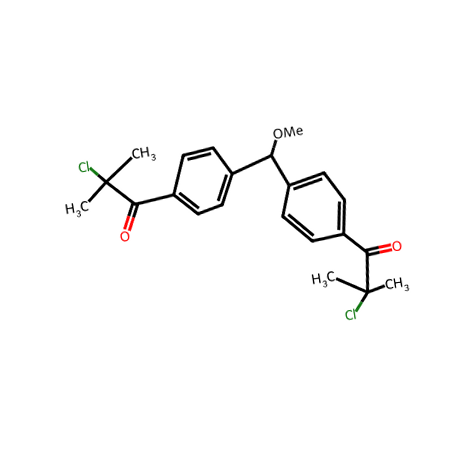 COC(c1ccc(C(=O)C(C)(C)Cl)cc1)c1ccc(C(=O)C(C)(C)Cl)cc1